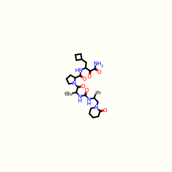 CC(C)C(CN1CCCCC1=O)NC(=O)NC(C(=O)N1CCCC1C(=O)NC(CC1CCC1)C(=O)C(N)=O)C(C)(C)C